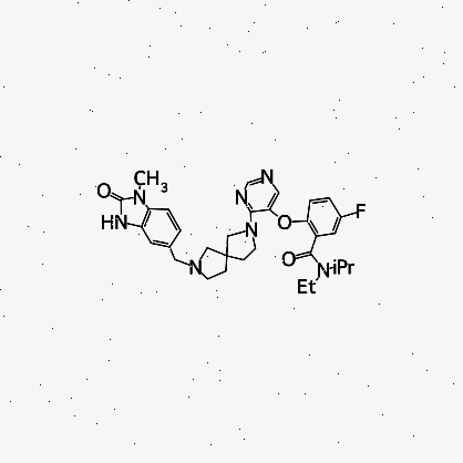 CCN(C(=O)c1cc(F)ccc1Oc1cncnc1N1CCC2(CCN(Cc3ccc4c(c3)[nH]c(=O)n4C)C2)C1)C(C)C